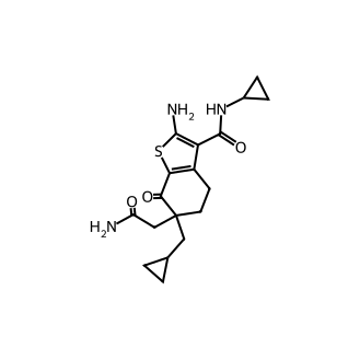 NC(=O)CC1(CC2CC2)CCc2c(sc(N)c2C(=O)NC2CC2)C1=O